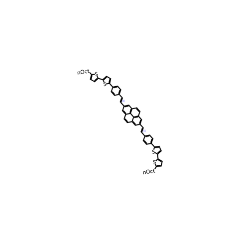 CCCCCCCCc1ccc(-c2ccc(-c3ccc(/C=C/c4cc5ccc6cc(/C=C/c7ccc(-c8ccc(-c9ccc(CCCCCCCC)s9)s8)cc7)cc7ccc(c4)c5c67)cc3)s2)s1